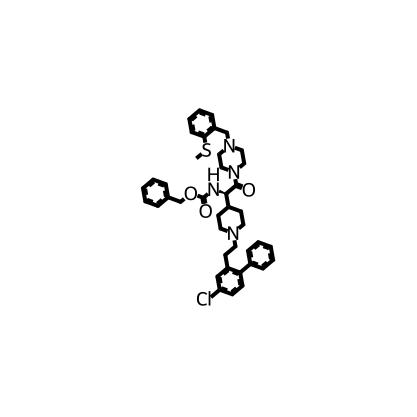 CSc1ccccc1CN1CCN(C(=O)[C@H](NC(=O)OCc2ccccc2)C2CCN(CCc3cc(Cl)ccc3-c3ccccc3)CC2)CC1